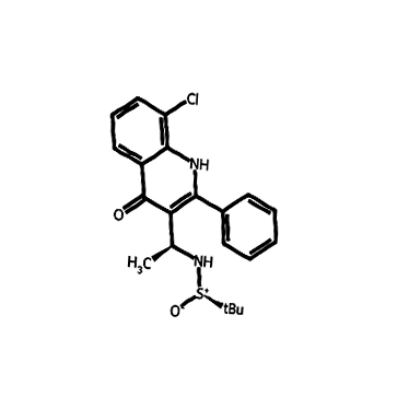 C[C@H](N[S@+]([O-])C(C)(C)C)c1c(-c2ccccc2)[nH]c2c(Cl)cccc2c1=O